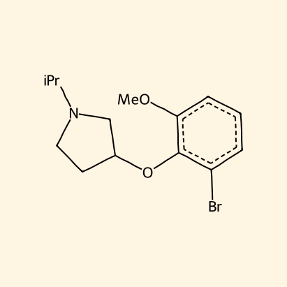 COc1cccc(Br)c1OC1CCN(C(C)C)C1